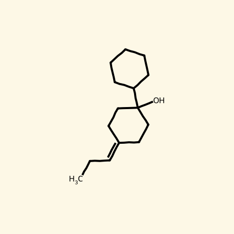 CCC=C1CCC(O)(C2CCCCC2)CC1